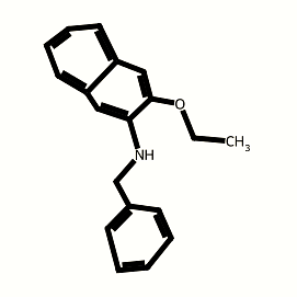 CCOc1cc2ccccc2cc1NCc1ccccc1